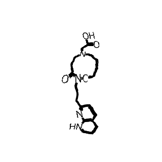 O=C(O)CN1CCCCCN(CCCc2ccc3c(n2)NCCC3)C(=O)CC1